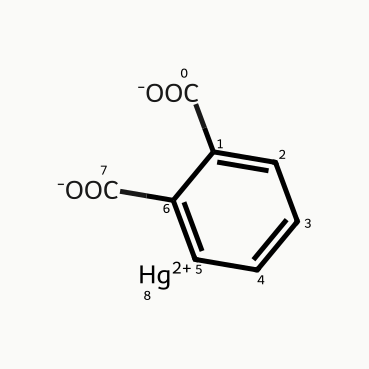 O=C([O-])c1ccccc1C(=O)[O-].[Hg+2]